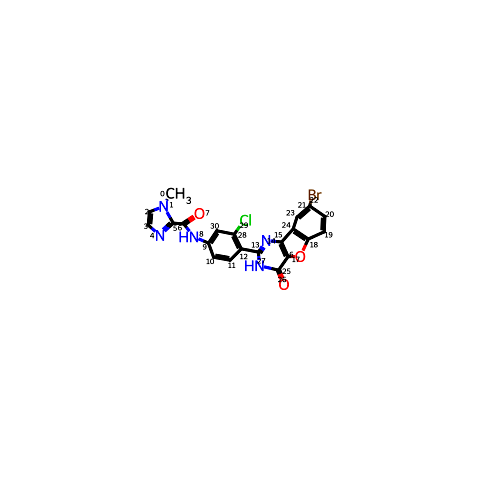 Cn1ccnc1C(=O)Nc1ccc(-c2nc3c(oc4ccc(Br)cc43)c(=O)[nH]2)c(Cl)c1